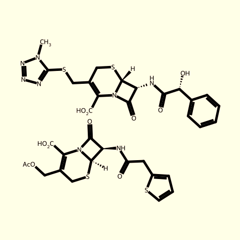 CC(=O)OCC1=C(C(=O)O)N2C(=O)[C@@H](NC(=O)Cc3cccs3)[C@H]2SC1.Cn1nnnc1SCC1=C(C(=O)O)N2C(=O)[C@@H](NC(=O)[C@H](O)c3ccccc3)[C@H]2SC1